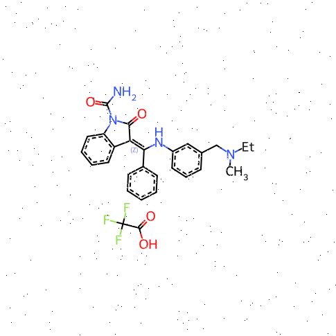 CCN(C)Cc1cccc(N/C(=C2\C(=O)N(C(N)=O)c3ccccc32)c2ccccc2)c1.O=C(O)C(F)(F)F